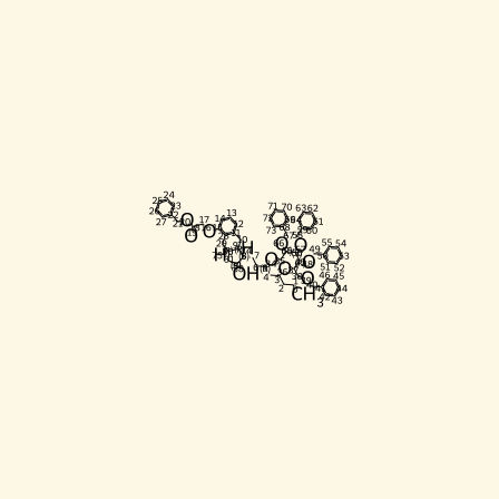 CCCCC[C@H](CC[C@H]1[C@@H]2Cc3cccc(OCC(=O)OCc4ccccc4)c3C[C@@H]2C[C@@H]1O)OC1OC(COCc2ccccc2)[C@@H](OCc2ccccc2)[C@H](OCc2ccccc2)[C@H]1OCc1ccccc1